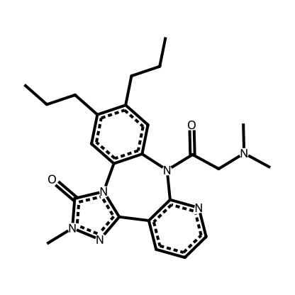 CCCc1cc2c(cc1CCC)-n1c(nn(C)c1=O)-c1cccnc1N2C(=O)CN(C)C